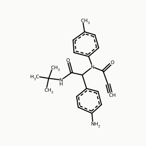 C#CC(=O)N(c1ccc(C)cc1)C(C(=O)NC(C)(C)C)c1ccc(N)cc1